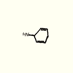 [NH]C1C=CCC=C1